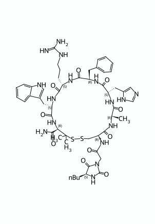 CCCC[C@@H]1NC(=O)N(CC(=O)N[C@H]2CSSC(C)(C)[C@@H](C(N)=O)NC(=O)[C@H](Cc3c[nH]c4ccccc34)NC(=O)[C@H](CCCNC(=N)N)NC(=O)[C@@H](Cc3ccccc3)NC(=O)[C@H](Cc3cnc[nH]3)NC(=O)[C@@H](C)NC2=O)C1=O